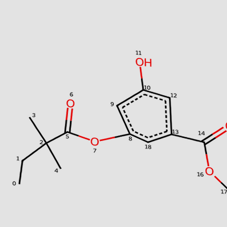 CCC(C)(C)C(=O)Oc1cc(O)cc(C(=O)OC)c1